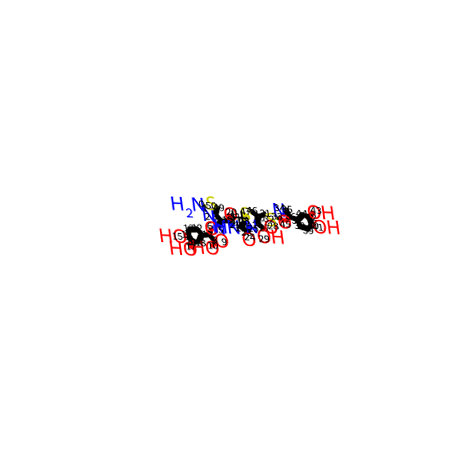 Nc1nc(C(=NOC(C(=O)O)c2ccc(O)c(O)c2)C(=O)N[C@@H]2C(=O)N3C(C(=O)O)=C(CSc4ncc(-c5ccc(O)c(O)c5)o4)CS[C@@H]23)cs1